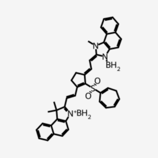 BN1/C(=C\C=C2/CCC(/C=C/C3=[N+](B)c4ccc5ccccc5c4C3(C)C)=C2S(=O)(=O)C2=CCC=CC=C2)N(C)c2c1ccc1ccccc21